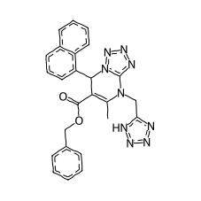 CC1=C(C(=O)OCc2ccccc2)C(c2cccc3ccccc23)n2nnnc2N1Cc1nnn[nH]1